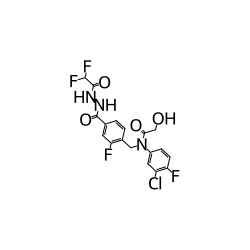 O=C(NNC(=O)C(F)F)c1ccc(CN(C(=O)CO)c2ccc(F)c(Cl)c2)c(F)c1